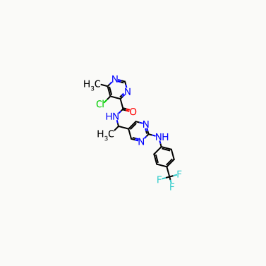 Cc1ncnc(C(=O)NC(C)c2cnc(Nc3ccc(C(F)(F)F)cc3)nc2)c1Cl